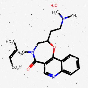 CN(C)CCC1CN(C)C(=O)c2cnc3ccccc3c2O1.O.O=C(O)C=CC(=O)O